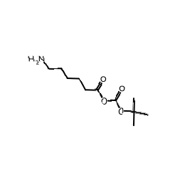 CC(C)(C)OC(=O)OC(=O)CCCCCN